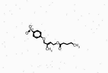 CCCCC(=O)OCC=C(C)COc1ccc([N+](=O)[O-])cc1